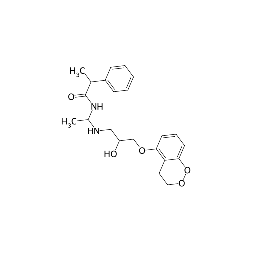 CC(NCC(O)COc1cccc2c1CCOO2)NC(=O)C(C)c1ccccc1